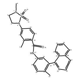 Cc1cc(N2CCN(C)S2(=O)=O)ccc1C(=O)Nc1ccc(C)c(-c2nccc3ccccc23)c1